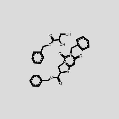 O=C(OCc1ccccc1)C(O)CO.O=C(OCc1ccccc1)C1Cn2c(cc(=O)n(Cc3ccccc3)c2=O)S1